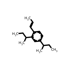 CC=Cc1ccc(C(C)CC)cc1C(C)CC